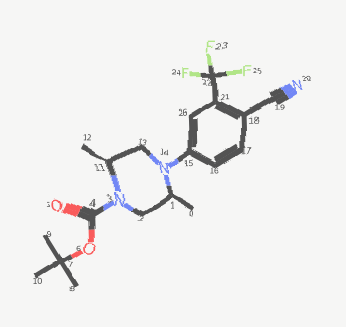 CC1CN(C(=O)OC(C)(C)C)[C@@H](C)CN1c1ccc(C#N)c(C(F)(F)F)c1